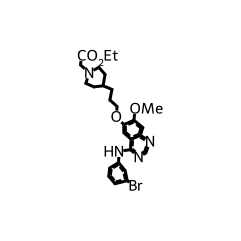 CCOC(=O)CN1CCC(CCCOc2cc3c(Nc4cccc(Br)c4)ncnc3cc2OC)CC1